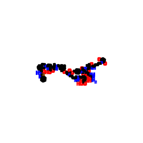 Cc1c(-c2ccc(N3CCc4cccc(C(=O)Nc5nc6ccccc6s5)c4C3)nc2C(=O)O)cnn1CC12CC3(C)CC(C)(C1)C(OCCN(CCCc1cn(C[C@@H]4O[C@H](C(=O)O)[C@@H](O)[C@H](O)[C@H]4O)nn1)C(=O)OCc1ccc(NC(=O)[C@H](CCCNC(N)=O)NC(=O)[C@@H](NC(=O)CCCCCN4C(=O)C=CC4=O)C(C)C)cc1)(C3)C2